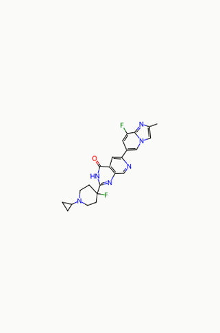 Cc1cn2cc(-c3cc4c(=O)[nH]c(C5(F)CCN(C6CC6)CC5)nc4cn3)cc(F)c2n1